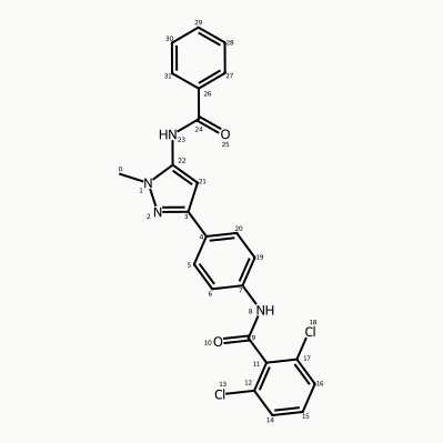 Cn1nc(-c2ccc(NC(=O)c3c(Cl)cccc3Cl)cc2)cc1NC(=O)c1ccccc1